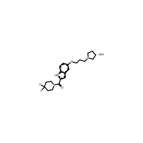 O=C(c1cc2cc(OCCCN3CC[C@H](O)C3)ccc2[nH]1)N1CCC(F)(F)CC1